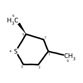 CC1CCS[C@@H](C)C1